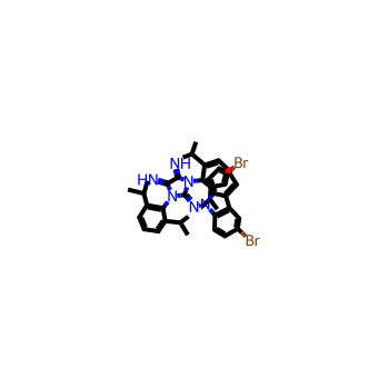 CC(C)c1cccc(C(C)C)c1N1C(=N)C(=N)N(c2c(C(C)C)cccc2C(C)C)C1=Nn1c2ccc(Br)cc2c2cc(Br)ccc21